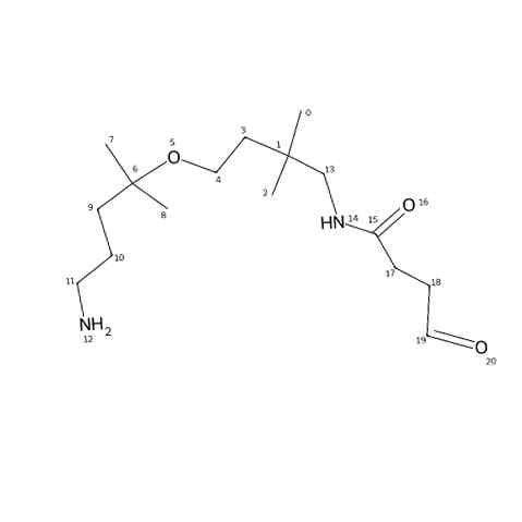 CC(C)(CCOC(C)(C)CCCN)CNC(=O)CCC=O